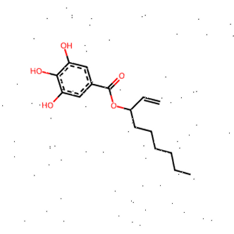 C=CC(CCCCCC)OC(=O)c1cc(O)c(O)c(O)c1